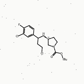 CC(C)(C)OC(=O)N1CC[C@H](NC(CCCl)c2ccc(F)c(Cl)c2)C1